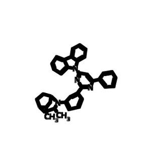 CC1CC2CCC1CC(C)N2c1cccc(-c2nc(-c3ccccc3)cc(-n3c4ccccc4c4ccccc43)n2)c1